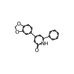 O=c1cc(-c2ccc3c(c2)OCO3)cc(-c2ccccc2)[nH]1